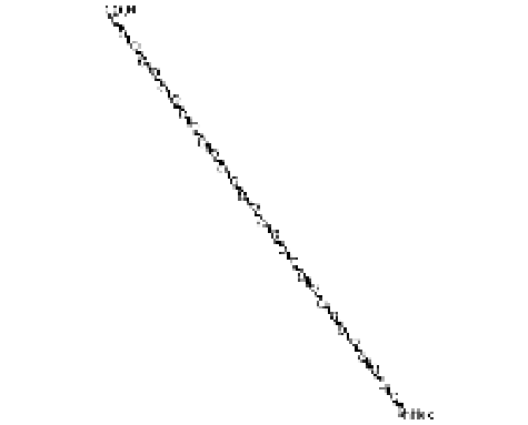 CCCCCCOCCOCCOCCOCCOCCOCCOCCOCCOCCOCCOCCOCCOCCOCCOCCOCCOCCOCCOCCOCCOCCOCCOCCOCCOCCOCCOCCOCCOCCOCC(=O)O